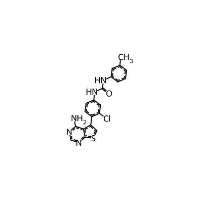 Cc1cccc(NC(=O)Nc2ccc(-c3csc4ncnc(N)c34)c(Cl)c2)c1